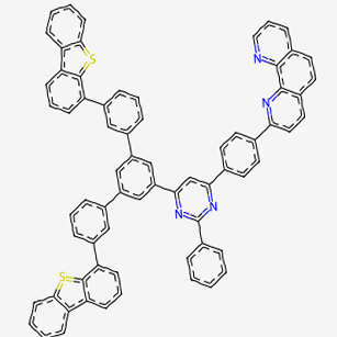 c1ccc(-c2nc(-c3ccc(-c4ccc5ccc6cccnc6c5n4)cc3)cc(-c3cc(-c4cccc(-c5cccc6c5sc5ccccc56)c4)cc(-c4cccc(-c5cccc6c5sc5ccccc56)c4)c3)n2)cc1